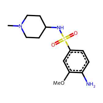 COc1cc(S(=O)(=O)NC2CCN(C)CC2)ccc1N